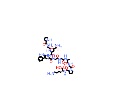 CC(NC(=O)CNC(=O)CNC(=O)[C@H](Cc1c[nH]c2ccccc12)NC(=O)C(CCC(N)=O)NC(=O)CNC(=O)C1CCCN1)C(=O)NCC(=O)N1CCCC1C(=O)N[C@@H](CCCCN)C(=O)O